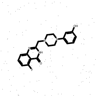 O=c1[nH]c(CN2CCN(c3cccc(O)c3)CC2)nc2cccc(F)c12